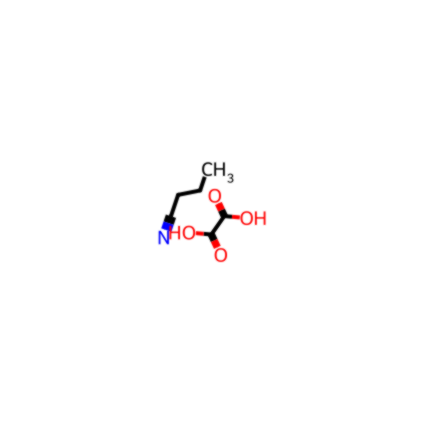 CCCC#N.O=C(O)C(=O)O